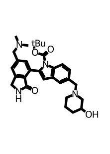 CN(C)Cc1cc2c(c(-c3cc4cc(CN5CCCC(O)C5)ccc4n3C(=O)OC(C)(C)C)c1)C(=O)NC2